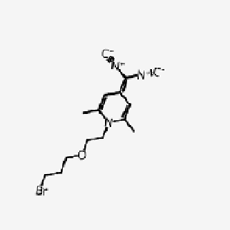 [C-]#[N+]C([N+]#[C-])=C1C=C(C)N(CCOCCCBr)C(C)=C1